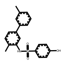 Cc1cccc(-c2ccc(C)c(NS(=O)(=O)c3ccc(O)cc3)c2)c1